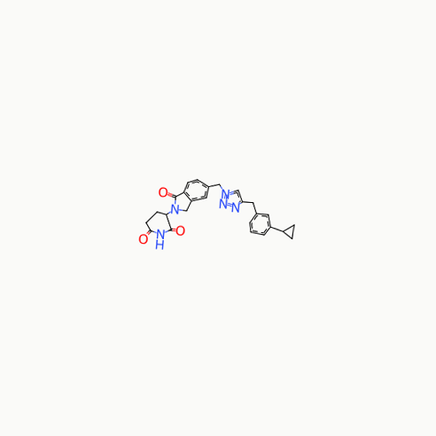 O=C1CCC(N2Cc3cc(Cn4cc(Cc5cccc(C6CC6)c5)nn4)ccc3C2=O)C(=O)N1